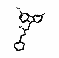 Cc1ccc2c(c1)-c1cc(O)ccc1C2CC(O)CCc1ccccc1